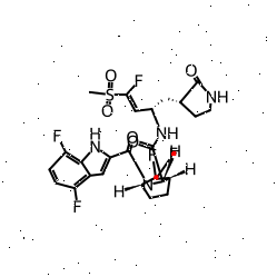 CS(=O)(=O)/C(F)=C/[C@H](C[C@H]1CCNC1=O)NC(=O)[C@@H]1[C@@H]2CC[C@@H](CC2(F)F)N1C(=O)c1cc2c(F)ccc(F)c2[nH]1